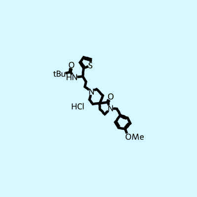 COc1ccc(CN2CCC3(CCN(CCC(NC(=O)C(C)(C)C)c4cccs4)CC3)C2=O)cc1.Cl